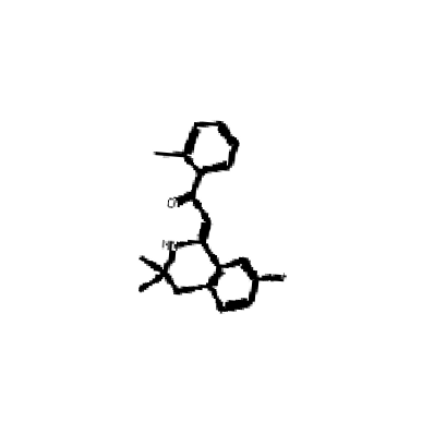 Cc1ccccc1C(=O)/C=C1\NC(C)(C)Cc2ccc(F)cc21